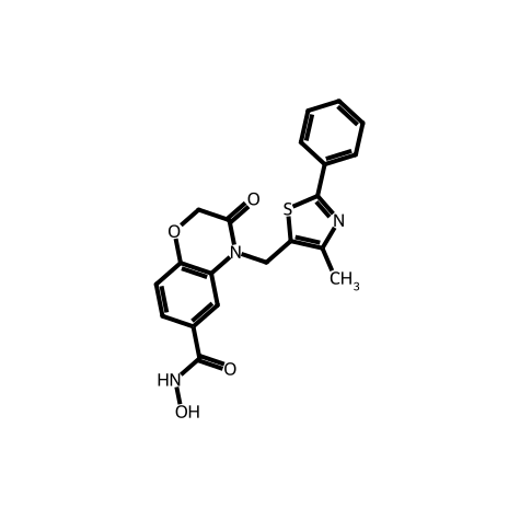 Cc1nc(-c2ccccc2)sc1CN1C(=O)COc2ccc(C(=O)NO)cc21